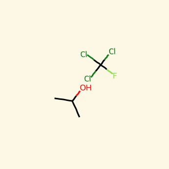 CC(C)O.FC(Cl)(Cl)Cl